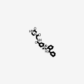 O=C1CN(C(=O)CNC(=O)c2ccc(S(=O)(=O)Nc3ccccc3C(=O)c3ccccc3)cc2)CCN1